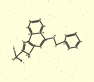 CC(F)(F)c1nc2c(cc(OCc3ccccc3)c3ccccc32)[nH]1